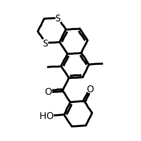 Cc1cc(C(=O)C2=C(O)CCCC2=O)c(C)c2c3c(ccc12)SCCS3